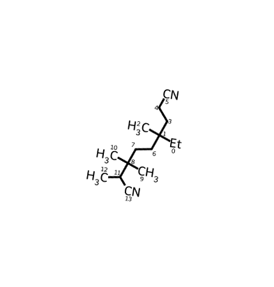 CCC(C)(CCC#N)CCC(C)(C)C(C)C#N